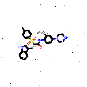 COc1cc(N2CCNCC2)ccc1NC(=O)[C@H](Cc1c[nH]c2ccccc12)S(=O)(=O)c1ccc(C)cc1